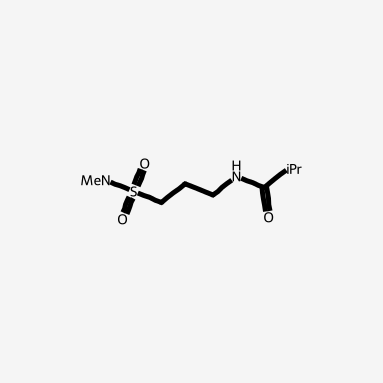 CNS(=O)(=O)CCCNC(=O)C(C)C